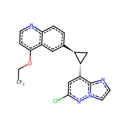 FC(F)(F)COc1ccnc2ccc([C@H]3C[C@@H]3c3cc(Cl)nn4ccnc34)cc12